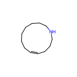 C1=C\CCCNCCCCCCC/1